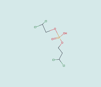 O=P(O)(OCCC(Cl)Cl)OCC(Cl)Cl